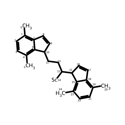 Cc1ccc(C)c2c1C=CC2CC[CH]([Sc])C1C=Cc2c(C)ccc(C)c21